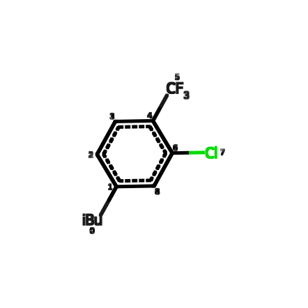 CCC(C)c1ccc(C(F)(F)F)c(Cl)c1